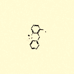 NS(=O)(=O)c1cccc(OC(F)(F)F)c1Cc1ccccc1